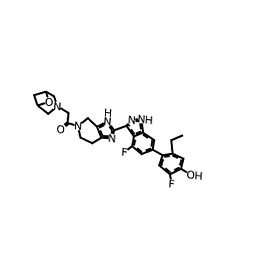 CCc1cc(O)c(F)cc1-c1cc(F)c2c(-c3nc4c([nH]3)CN(C(=O)CN3CC5CC(C3)O5)CC4)n[nH]c2c1